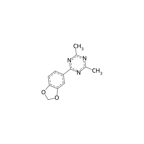 Cc1nc(C)nc(-c2ccc3c(c2)OCO3)n1